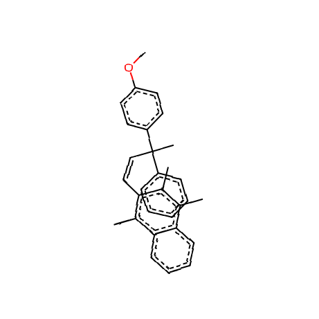 COc1ccc(C(C)(/C=C\c2c(C)c(C)c3ccccc3c2C)c2ccccc2)cc1